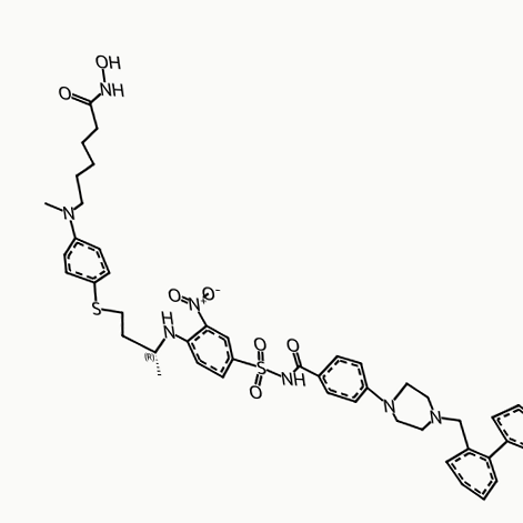 C[C@H](CCSc1ccc(N(C)CCCCCC(=O)NO)cc1)Nc1ccc(S(=O)(=O)NC(=O)c2ccc(N3CCN(Cc4ccccc4-c4ccc(Cl)cc4)CC3)cc2)cc1[N+](=O)[O-]